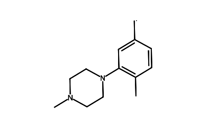 [CH2]c1ccc(C)c(N2CCN(C)CC2)c1